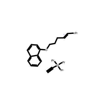 C#C[Si](C(C)C)(C(C)C)C(C)C.CCC/C=C/CCCOc1cccc2ccccc12